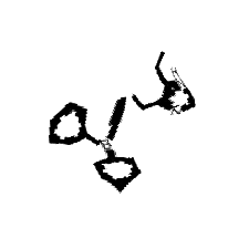 C=CB(c1ccccc1)c1ccccc1.CCc1nc[nH]c1CC